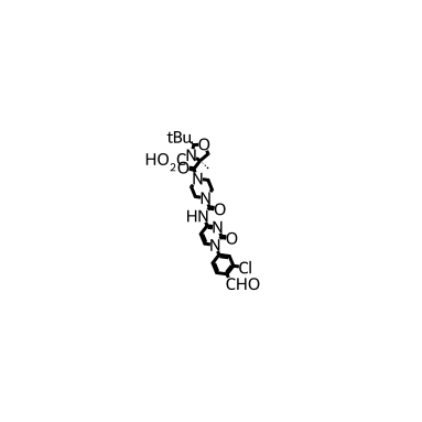 CC(C)(C)[C@H]1OC[C@@](C)(C(=O)N2CCN(C(=O)Nc3ccn(-c4ccc(C=O)c(Cl)c4)c(=O)n3)CC2)N1C(=O)O